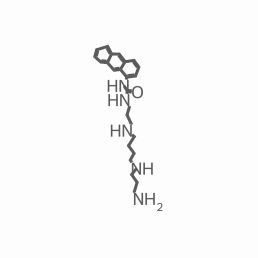 NCCCNCCCCNCCCNC(=O)Nc1cccc2cc3ccccc3cc12